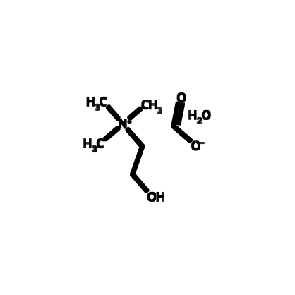 C[N+](C)(C)CCO.O.O=C[O-]